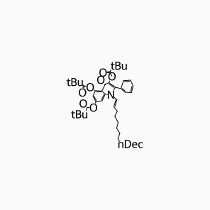 CCCCCCCCCCCCCCCCC=Cn1c(-c2ccccc2)c(OC(=O)C(C)(C)C)c(=O)c2c(OC(=O)C(C)(C)C)cc(OC(=O)C(C)(C)C)cc21